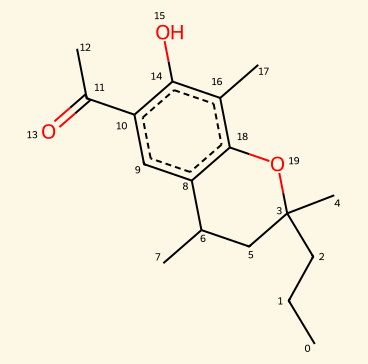 CCCC1(C)CC(C)c2cc(C(C)=O)c(O)c(C)c2O1